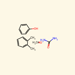 C=O.Cc1ccccc1C.NC(N)=O.Oc1ccccc1